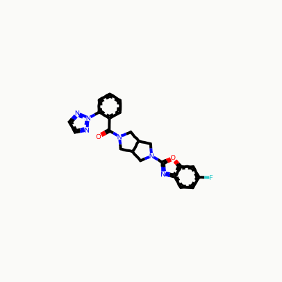 O=C(c1ccccc1-n1nccn1)N1CC2CN(c3nc4ccc(F)cc4o3)CC2C1